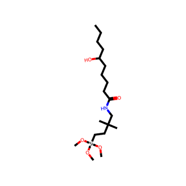 CCCCC(O)CCCCC(=O)NCC(C)(C)CC[Si](OC)(OC)OC